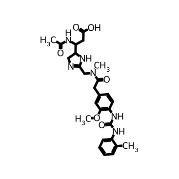 COc1cc(CC(=O)N(C)CC2=NCC(C(CC(=O)O)NC(C)=O)N2)ccc1NC(=O)Nc1ccccc1C